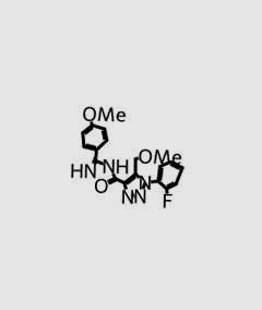 COCc1c(C(=O)NC(=N)c2ccc(OC)cc2)nnn1-c1ccccc1F